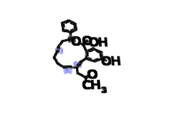 CC(=O)CC1=C\c2cc(O)cc(O)c2C(=O)O[C@H](c2ccccc2)C/C=C/CC\C=C\1